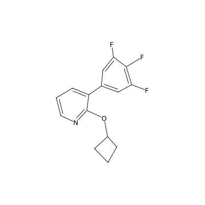 Fc1cc(-c2cccnc2OC2CCC2)cc(F)c1F